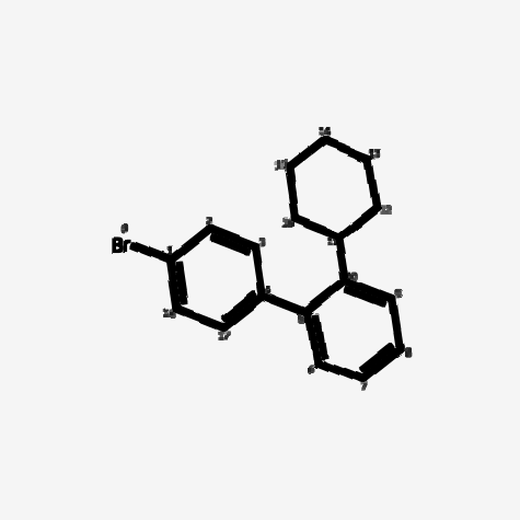 Brc1ccc(-c2ccccc2C2CCCCC2)cc1